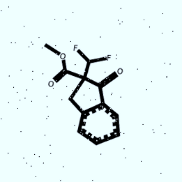 COC(=O)C1(C(F)F)Cc2ccccc2C1=O